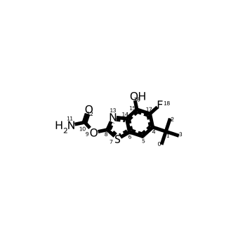 CC(C)(C)c1cc2sc(OC(N)=O)nc2c(O)c1F